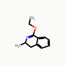 CCOC1=NC(C)Cc2ccccc21